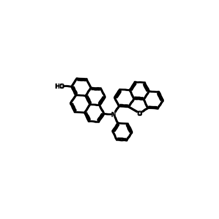 Oc1ccc2ccc3c(N(c4ccccc4)c4ccc5ccc6cccc7oc4c5c67)ccc4ccc1c2c43